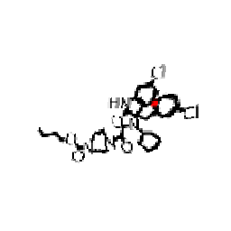 CCCCOC(=O)N1CCN(C(=O)CN(C2CCCCC2)C2(Cc3cccc(Cl)c3)C(=O)Nc3cc(Cl)ccc32)CC1